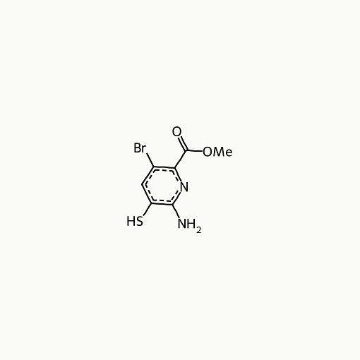 COC(=O)c1nc(N)c(S)cc1Br